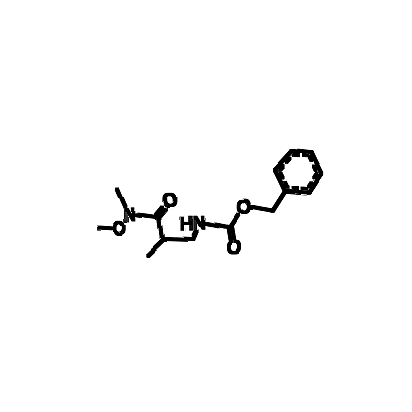 CON(C)C(=O)C(C)CNC(=O)OCc1ccccc1